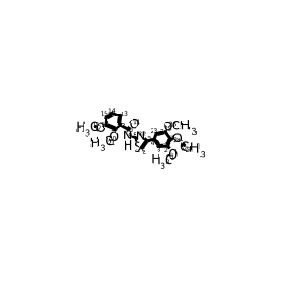 COc1cc(-c2csc(NC(=O)c3cccc(OC)c3OC)n2)cc(OC)c1OC